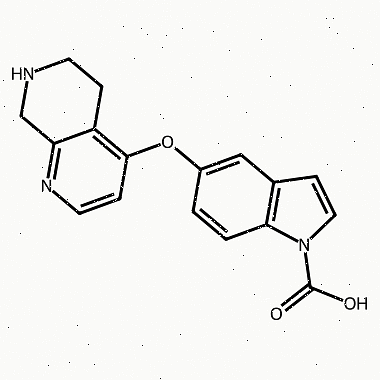 O=C(O)n1ccc2cc(Oc3ccnc4c3CCNC4)ccc21